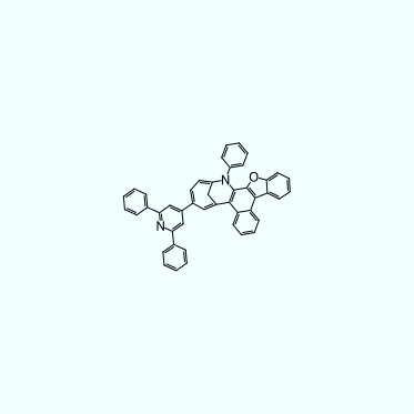 C1=C(c2cc(-c3ccccc3)nc(-c3ccccc3)c2)C=C2CC(=C1)N(c1ccccc1)c1c2c2ccccc2c2c1oc1ccccc12